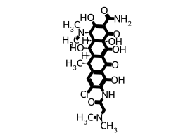 C[C@H]1c2cc(Cl)c(NC(=O)CN(C)C)c(O)c2C(=O)C2=C(O)[C@]3(O)C(=O)C(C(N)=O)=C(O)[C@@H](N(C)C)[C@@H]3[C@@H](O)[C@@H]21